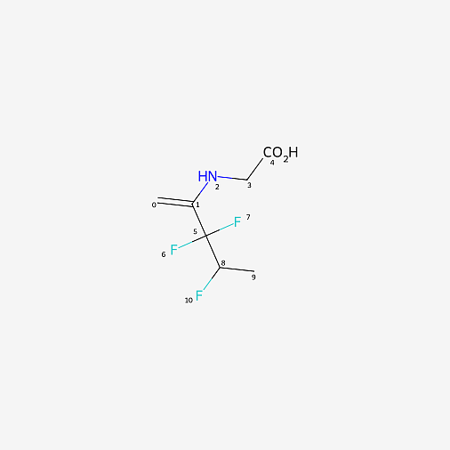 C=C(NCC(=O)O)C(F)(F)C(C)F